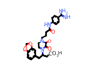 N=C(N)c1ccc(NC(=O)CCCN2CCN(C(CC(=O)O)Cc3ccc4c(c3)OCO4)C(=O)C2=O)cc1